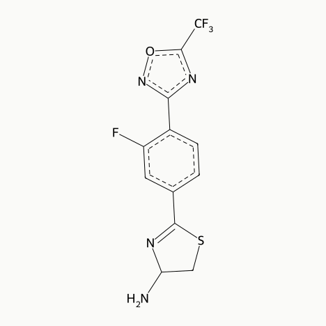 NC1CSC(c2ccc(-c3noc(C(F)(F)F)n3)c(F)c2)=N1